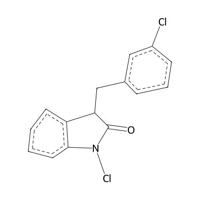 O=C1C(Cc2cccc(Cl)c2)c2ccccc2N1Cl